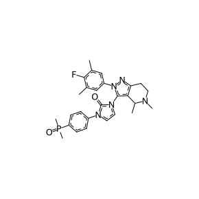 Cc1cc(-n2nc3c(c2-n2ccn(-c4ccc(P(C)(C)=O)cc4)c2=O)C(C)N(C)CC3)cc(C)c1F